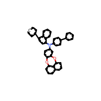 c1ccc(-c2ccc(N(c3ccc4c(c3)Oc3cccc5cccc(c35)O4)c3ccc(-c4ccccc4)c4ccccc34)cc2)cc1